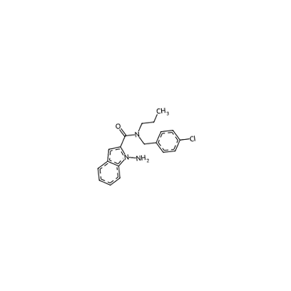 CCCN(Cc1ccc(Cl)cc1)C(=O)c1cc2ccccc2n1N